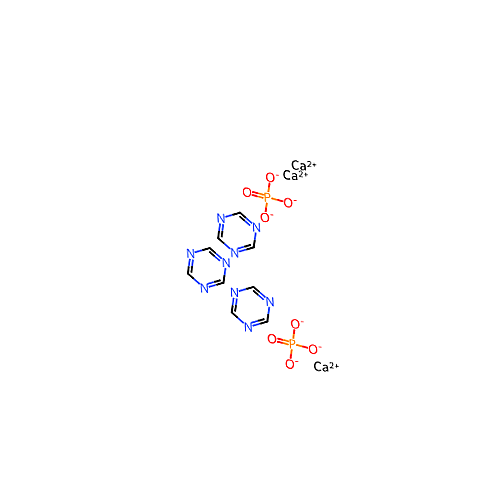 O=P([O-])([O-])[O-].O=P([O-])([O-])[O-].[Ca+2].[Ca+2].[Ca+2].c1ncncn1.c1ncncn1.c1ncncn1